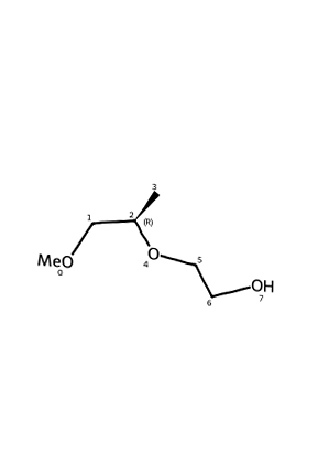 COC[C@@H](C)OCCO